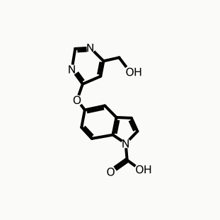 O=C(O)n1ccc2cc(Oc3cc(CO)ncn3)ccc21